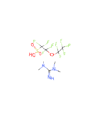 CN(C)C(=N)N(C)C.O=S(=O)(O)C(F)(F)C(F)(F)OC(F)(F)C(F)(F)F